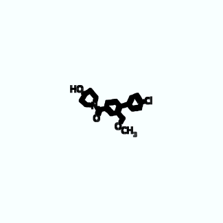 COCc1cc(C(=O)N2CCC(O)CC2)ccc1-c1ccc(Cl)cc1